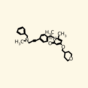 Cc1cc(OCC2CCOCC2)cc(=O)n1[C@@H](C)c1ccc(C#CCN(C)Cc2ccccc2)cc1